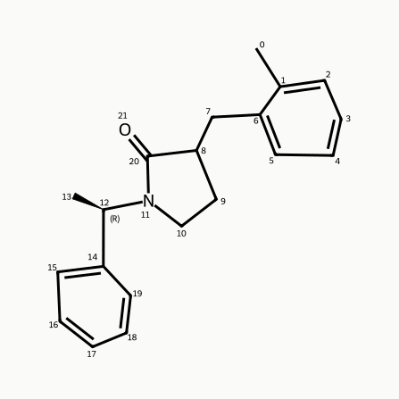 Cc1ccccc1CC1CCN([C@H](C)c2ccccc2)C1=O